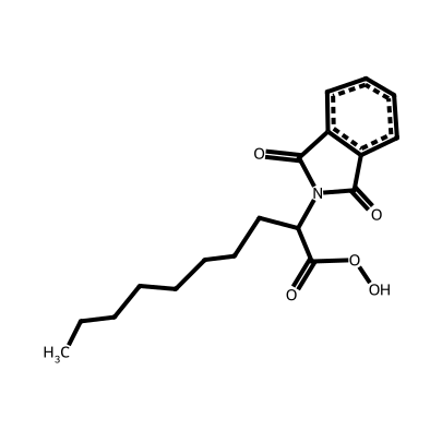 CCCCCCCCC(C(=O)OO)N1C(=O)c2ccccc2C1=O